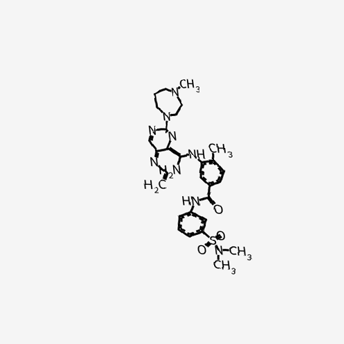 C=C/N=C1/C=NC(N2CCCN(C)CC2)=N/C1=C(/N)Nc1cc(C(=O)Nc2cccc(S(=O)(=O)N(C)C)c2)ccc1C